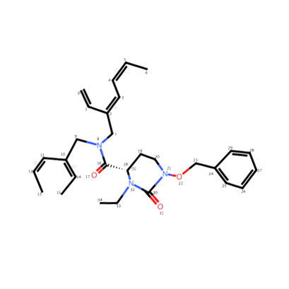 C=C/C(=C\C=C/C)CN(CC(/C=C\C)=C/C)C(=O)[C@@H]1CCN(OCc2ccccc2)C(=O)N1CC